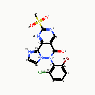 CS(=O)(=O)c1ncc2c(=O)n(-c3c(Cl)cccc3Br)n3ccnc3c2n1